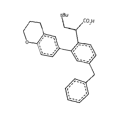 CC(C)(C)CC(C(=O)O)c1ccc(Cc2ccccc2)cc1-c1ccc2c(c1)CCCO2